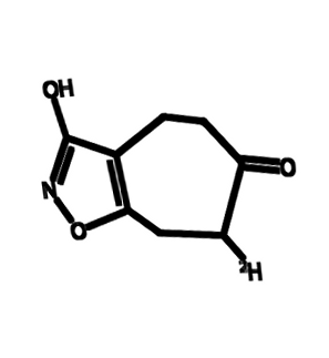 [2H]C1Cc2onc(O)c2CCC1=O